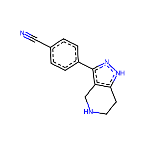 N#Cc1ccc(-c2n[nH]c3c2CNCC3)cc1